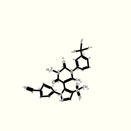 Cc1c(-c2c(S(C)(=O)=O)cnn2-c2ccc(C#N)cc2)c(=O)n(C)c(=O)n1-c1cccc(C(F)(F)F)c1